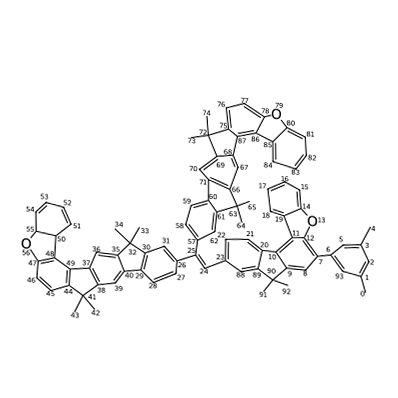 Cc1cc(C)cc(-c2cc3c(c4c2oc2ccccc24)-c2ccc(/C=C(/c4ccc5c(c4)C(C)(C)c4cc6c(cc4-5)C(C)(C)c4ccc5c(c4-6)C4C=CC=CC4O5)c4ccc5c(c4)C(C)(C)c4cc6c(cc4-5)C(C)(C)c4ccc5oc7ccccc7c5c4-6)cc2C3(C)C)c1